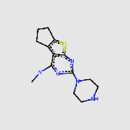 CNc1nc(N2CCNCC2)nc2sc3c(c12)CCC3